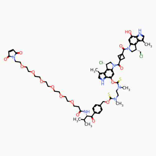 Cc1c[nH]c2c(O)cc3c(c12)[C@H](CCl)CN3C(=O)C12CC(C(=O)N3C[C@@H](Cl)c4c3cc(OC(=S)N(C)CCN(C)C(=S)OCc3ccc(C(=O)[C@@H](NC(=O)CCOCCOCCOCCOCCOCCOCCN5C(=O)C=CC5=O)C(C)C)cc3)c3[nH]cc(C)c43)(C1)C2